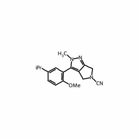 COc1ccc(C(C)C)cc1-c1c2c(nn1C)CN(C#N)C2